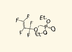 CCOP(=O)(COC(F)(F)C(F)=C(F)F)OCC